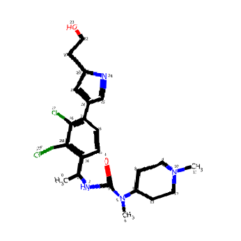 CC(NC(=O)N(C)C1CCN(C)CC1)c1ccc(C2=CC(CCO)N=C2)c(Cl)c1Cl